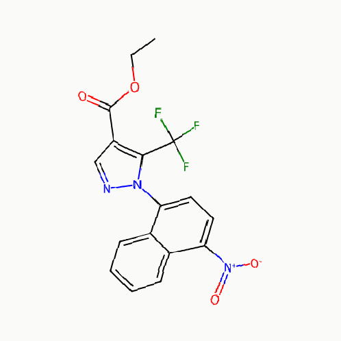 CCOC(=O)c1cnn(-c2ccc([N+](=O)[O-])c3ccccc23)c1C(F)(F)F